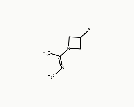 CN=C(C)N1CC([S])C1